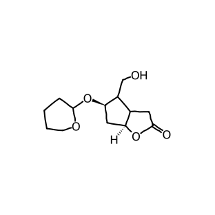 O=C1CC2C(CO)[C@H](OC3CCCCO3)C[C@@H]2O1